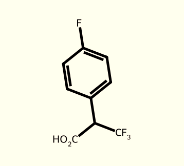 O=C(O)C(c1ccc(F)cc1)C(F)(F)F